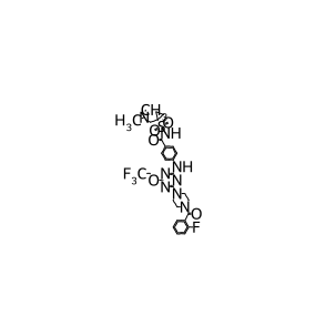 CN(C)CC1(S(=O)(=O)NC(=O)c2ccc(Nc3nc(OCC(F)(F)F)nc(N4CCN(C(=O)c5ccccc5F)CC4)n3)cc2)CC1